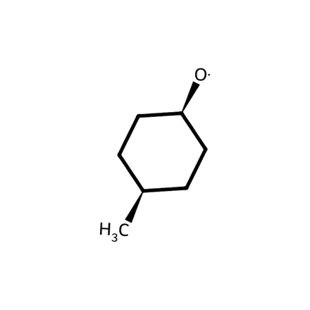 C[C@H]1CC[C@@H]([O])CC1